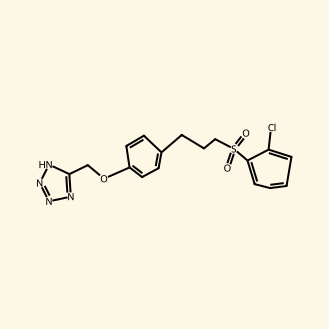 O=S(=O)(CCCc1ccc(OCc2nnn[nH]2)cc1)c1ccccc1Cl